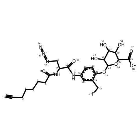 C#CCCCCCC(=O)NC(CN=[N+]=[N-])C(=O)Nc1ccc(OC2OC(C(=O)O)C(O)C(O)C2O)c(CF)c1